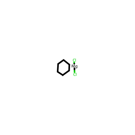 [CH]1CCCCC1.[Cl][Mg][Cl]